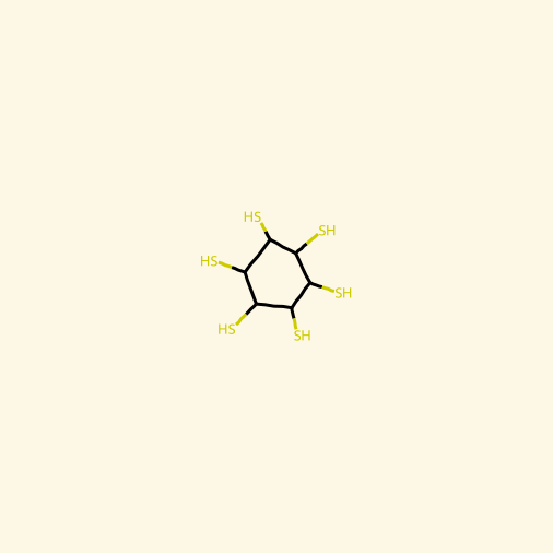 SC1C(S)C(S)C(S)C(S)C1S